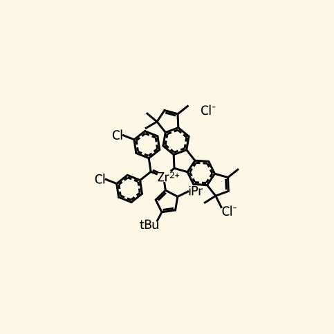 CC1=CC(C)(C)c2cc3c(cc21)-c1cc2c(cc1[CH]3[Zr+2]([C]1=CC(C(C)(C)C)=CC1C(C)C)=[C](c1cccc(Cl)c1)c1cccc(Cl)c1)C(C)(C)C=C2C.[Cl-].[Cl-]